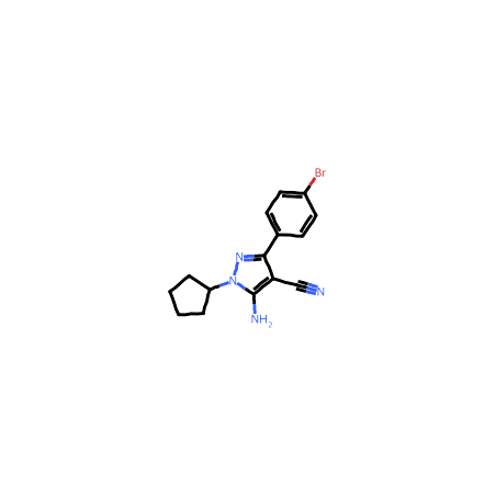 N#Cc1c(-c2ccc(Br)cc2)nn(C2CCCC2)c1N